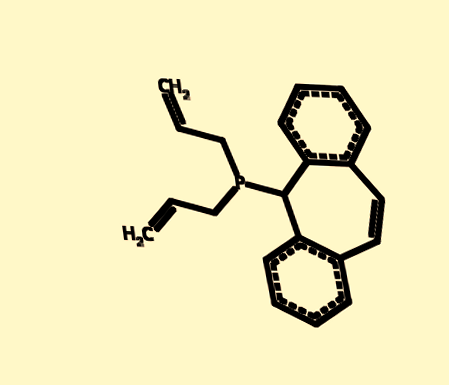 C=CCP(CC=C)C1c2ccccc2C=Cc2ccccc21